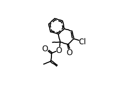 C=C(C)C(=O)OC1(C)C(=O)C(Cl)=Cc2ccccc21